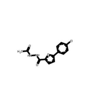 CC(=O)NNC(=O)c1ccc(-c2ccc(Cl)cc2)o1